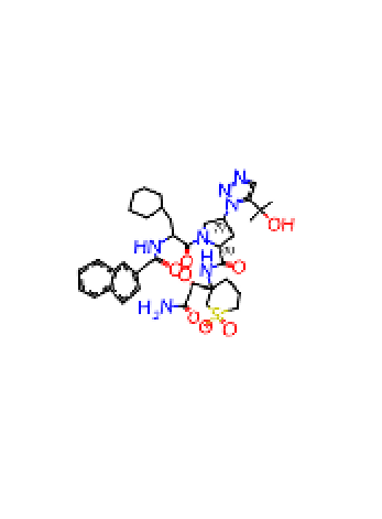 CC(C)(O)c1cnnn1[C@H]1C[C@@H](C(=O)NC2(C(=O)C(N)=O)CCCS(=O)(=O)C2)N(C(=O)C(CC2CCCCC2)NC(=O)c2ccc3ccccc3c2)C1